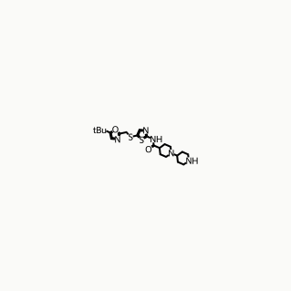 CC(C)(C)c1cnc(CSc2cnc(NC(=O)C3CCN(C4CCNCC4)CC3)s2)o1